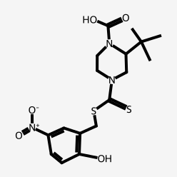 CC(C)(C)C1CN(C(=S)SCc2cc([N+](=O)[O-])ccc2O)CCN1C(=O)O